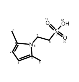 Cc1ccc(C)n1CCS(=O)(=O)O